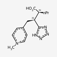 CCC[C@H](C(=O)O)[C@H](Cc1cc[n+](C)cc1)c1nnn[nH]1